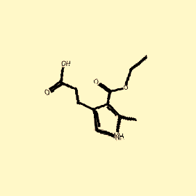 CCOC(=O)c1c(CCC(=O)O)[c][nH]c1C